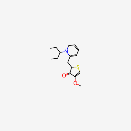 CCC(CC)N1CC=CC=C1CC1SC=C(OC)C1=O